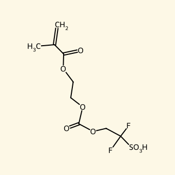 C=C(C)C(=O)OCCOC(=O)OCC(F)(F)S(=O)(=O)O